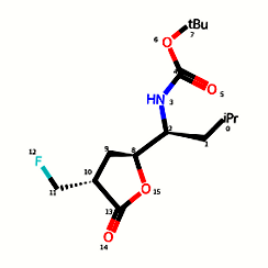 CC(C)C[C@H](NC(=O)OC(C)(C)C)[C@@H]1C[C@@H](CF)C(=O)O1